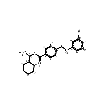 C[C@@H](NC(=O)c1ccc(COc2cncc(F)c2)nc1)C1CCCCC1